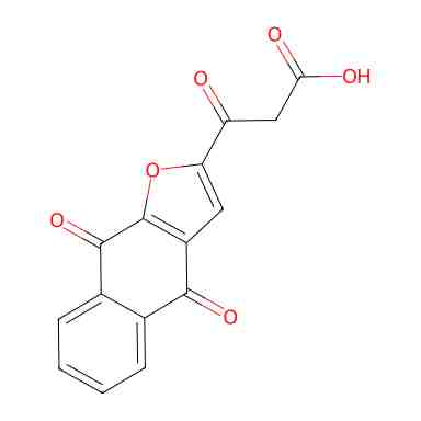 O=C(O)CC(=O)c1cc2c(o1)C(=O)c1ccccc1C2=O